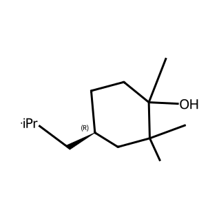 C[C](C)C[C@H]1CCC(C)(O)C(C)(C)C1